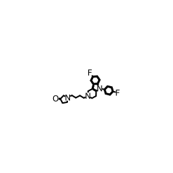 O=C1CCN(CCCCN2CCc3c(c4cc(F)ccc4n3-c3ccc(F)cc3)C2)C1